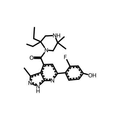 CCC1(CC)CNC(C)(C)CN1C(=O)c1cc(-c2ccc(O)cc2F)nc2[nH]nc(C)c12